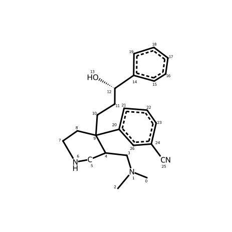 CN(C)CC1CNCCC1(CC[C@H](O)c1ccccc1)c1cccc(C#N)c1